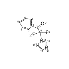 O=C(c1ccccc1)C(F)(F)n1cncn1